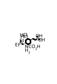 CCN(CC)C[C@@H]1CC[C@@H](CCB(O)O)C[C@]1(N)C(=O)O.Cl.Cl